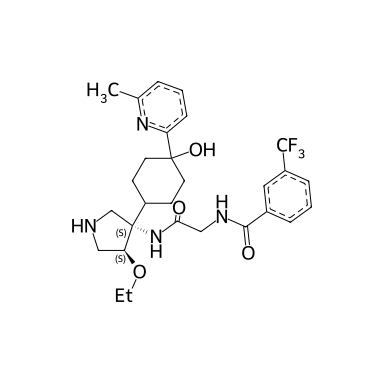 CCO[C@H]1CNC[C@@]1(NC(=O)CNC(=O)c1cccc(C(F)(F)F)c1)C1CCC(O)(c2cccc(C)n2)CC1